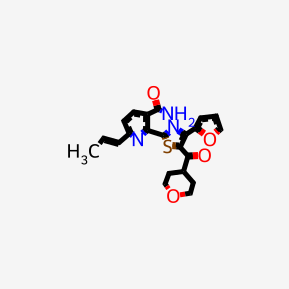 CC=Cc1ccc(C(N)=O)c(-c2nc(-c3ccco3)c(C(=O)C3CCOCC3)s2)n1